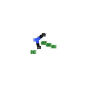 CCNCC.Cl.Cl.Cl.Cl